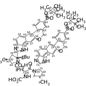 CC(C)[C@H](NC(=O)O)C(=O)N1C[C@@H](C)C[C@H]1c1nc2ccc3cc4c(cc3c2[nH]1)OCc1cc(B2OC(C)(C)C(C)(C)O2)ccc1-4.C[C@@H]1CN(C(=O)O)[C@](c2nc3ccc4cc5c(cc4c3[nH]2)OCc2cc(B3OC(C)(C)C(C)(C)O3)ccc2-5)(C(C)(C)C)C1